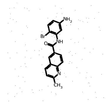 Cc1ccc2cc(C(=O)Nc3cc(N)ccc3Br)ccc2n1